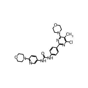 Cc1c(Cl)nc(-c2ccc(NC(=O)Nc3ccc(N4CCOCC4)nc3)cc2)nc1N1CCOCC1